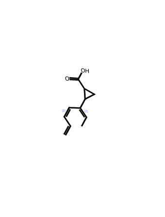 C=C/C=C\C(=C/C)C1CC1C(=O)O